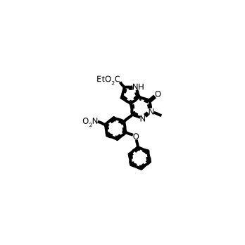 CCOC(=O)c1cc2c(-c3cc([N+](=O)[O-])ccc3Oc3ccccc3)nn(C)c(=O)c2[nH]1